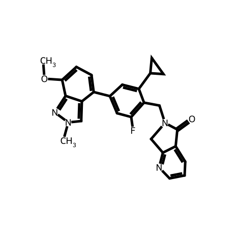 COc1ccc(-c2cc(F)c(CN3Cc4ncccc4C3=O)c(C3CC3)c2)c2cn(C)nc12